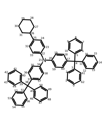 c1ccc(C(c2ccccc2)(c2ccccc2)c2ccc(N(c3ccc(C4CCCCC4)cc3)c3ccc(C(c4ccccc4)(c4ccccc4)c4ccccc4)cc3)cc2)cc1